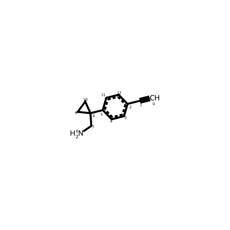 C#Cc1ccc(C2(CN)CC2)cc1